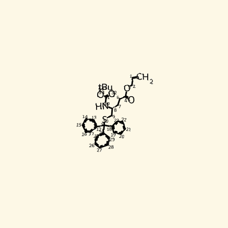 C=CCOC(=O)CC[C@@H](CSC(c1ccccc1)(c1ccccc1)c1ccccc1)NC(=O)OC(C)(C)C